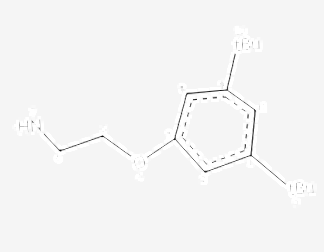 CC(C)(C)c1cc(OCC[NH])cc(C(C)(C)C)c1